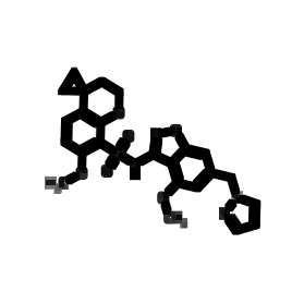 COc1ccc2c(c1S(=O)(=O)Nc1noc3cc(Cn4cccn4)cc(OC)c13)OCCC21CC1